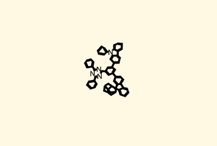 c1ccc(-c2nc(-c3ccccc3)nc(-c3cc(-c4ccc5c(c4)C4(c6ccccc6-5)C5CC6CC(C5)CC4C6)cc(-c4ccc5c6ccccc6n(-c6ccccc6)c5c4)c3)n2)cc1